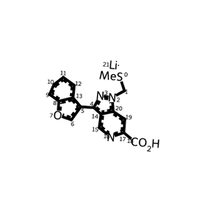 CSCn1nc(-c2coc3ccccc23)c2cnc(C(=O)O)cc21.[Li]